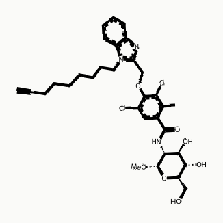 C#CCCCCCCCn1c(COc2c(Cl)cc(C(=O)N[C@H]3[C@@H](OC)O[C@H](CO)[C@@H](O)[C@@H]3O)c(C)c2Cl)nc2ccccc21